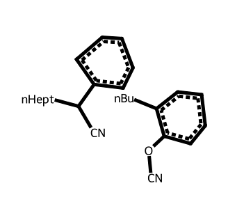 CCCCCCCC(C#N)c1ccccc1.CCCCc1ccccc1OC#N